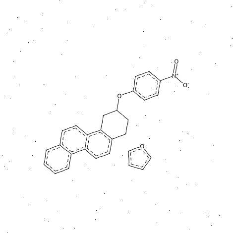 O=[N+]([O-])c1ccc(OC2CCc3ccc4c(ccc5ccccc54)c3C2)cc1.c1ccoc1